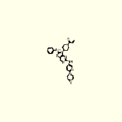 C=CC(=O)N1CCC(n2c(Nc3ccccc3)nc3cnc(Nc4ccc(N5CCN(C)CC5)nc4)nc32)CC1